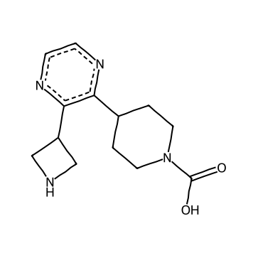 O=C(O)N1CCC(c2nccnc2C2CNC2)CC1